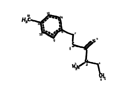 CCN(N)C(=S)SCc1ccc(C)cc1